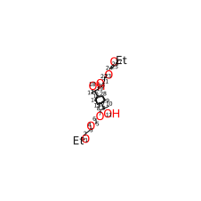 CCOCCOCCOCC(C)(O)c1ccc(C(C)(O)COCCOCCOCC)cc1